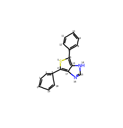 c1ccc(-c2sc(-c3ccccc3)c3[nH]cnc23)cc1